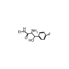 CCNC(=O)C(N)C(O)c1ccc(F)cc1